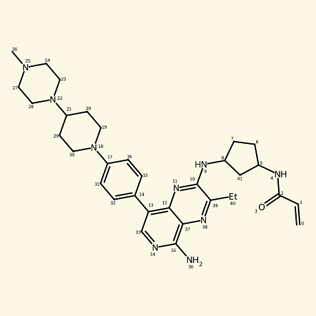 C=CC(=O)NC1CCC(Nc2nc3c(-c4ccc(N5CCC(N6CCN(C)CC6)CC5)cc4)cnc(N)c3nc2CC)C1